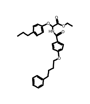 CCCc1ccc(OC(NC(=O)c2ccc(OCCCCc3ccccc3)cc2)C(=O)OCC)cc1